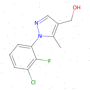 Cc1c(CO)cnn1-c1cccc(Cl)c1F